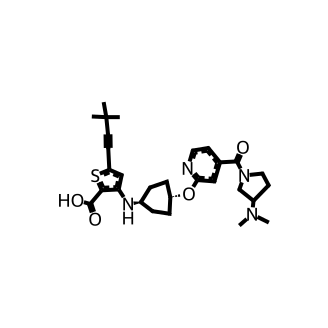 CN(C)C1CCN(C(=O)c2ccnc(O[C@H]3CC[C@H](Nc4cc(C#CC(C)(C)C)sc4C(=O)O)CC3)c2)C1